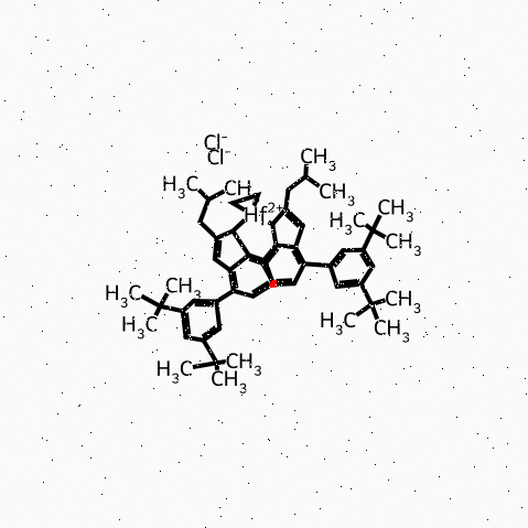 CC(C)CC1=Cc2c(-c3cc(C(C)(C)C)cc(C(C)(C)C)c3)cccc2[CH]1[Hf+2]1([CH]2C(CC(C)C)=Cc3c(-c4cc(C(C)(C)C)cc(C(C)(C)C)c4)cccc32)[CH2][CH2]1.[Cl-].[Cl-]